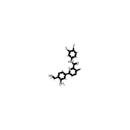 Cc1ccc(-c2ccc(C=N)c(N)c2)nc1C(=O)Nc1ccc(F)c(F)c1